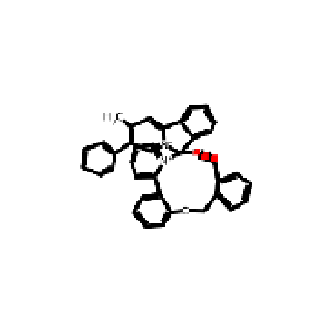 Cc1cc2[n+](cc1-c1ccccc1)C1(c3ccccc3-2)[n+]2ccccc2-c2ccccc2CCc2ccccc2-c2cccc[n+]21